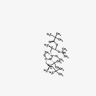 CO[C@@H](C[C@H](C)CC(C)(C)C)[C@H]([C@H](C[C@@H](C)C(OC(=O)C(C)(C)C)O[SiH](C)C)OC)C(C)(C)C